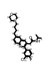 CC(C)NC(=O)Cc1cc2cc(CCCCN3CCOCC3)ccc2nc1-c1ccc(F)c(Cl)c1